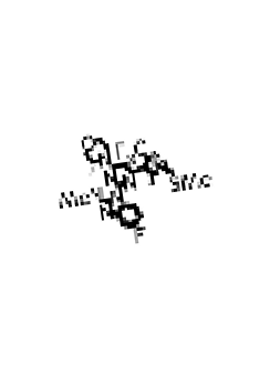 CNc1nc2cc(F)ccc2n1-c1nc(-c2c(C(F)(F)F)nn(CSC)c2C)cc(N2CCOC[C@H]2C)n1